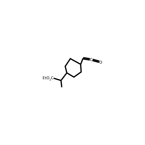 CCOC(=O)C(C)C1CCC(C=C=O)CC1